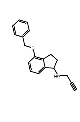 C#CCNC1CCc2c(OCc3ccccc3)cccc21